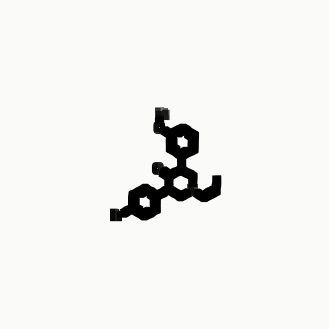 C/C=C\N1CC(c2ccc(Br)cc2)C(=O)C(c2cccc(OCC)c2)C1